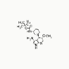 COc1cnc2[nH]cc(N)c2c1N1CCCC(NC(=O)OC(C)(C)C)C1